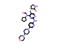 O=CN(c1nc(Nc2ccc(N3CCC(N4CCOCC4)CC3)cn2)ncc1C[C@@H]1CCNC1=O)C1CCCC1